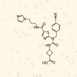 N#Cc1ccc(CN(C(=O)NC2CC(C(=O)O)C2)c2ncc(C(=O)NCCCn3ccnc3)s2)cc1